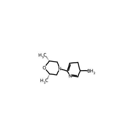 BC1C=NC(N2C[C@@H](C)O[C@@H](C)C2)=CC1